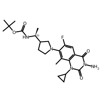 Cc1c(N2CCC([C@H](C)NC(=O)OC(C)(C)C)C2)c(F)cc2c(=O)n(N)c(=O)n(C3CC3)c12